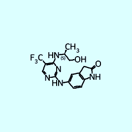 C[C@@H](CO)Nc1nc(Nc2ccc3c(c2)CC(=O)N3)ncc1C(F)(F)F